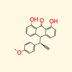 C#C[C@@H](c1ccc(OC)cc1)C1c2cccc(O)c2C(=O)c2c(O)cccc21